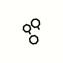 CC1CC[CH]CCC1.CC1[CH]CCCCCC1.[CH]1CCCCCCC1